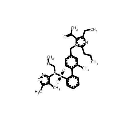 CCCc1nc(CC)c(C(C)=O)n1Cc1ccc(-c2ccccc2S(=O)(=O)N(COC)c2noc(C)c2C)c(C)c1